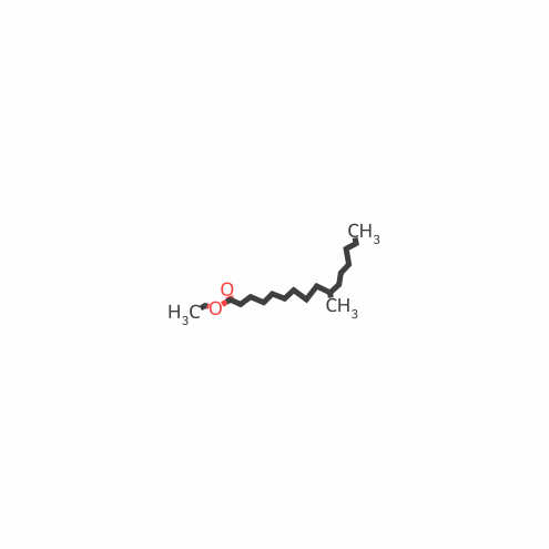 CCCCCCC(C)CCCCCCCCC(=O)OCC